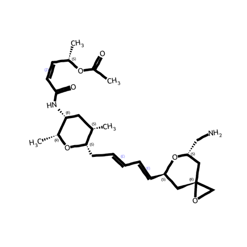 CC(=O)O[C@@H](C)/C=C\C(=O)N[C@@H]1C[C@H](C)[C@H](C/C=C/C=C/[C@@H]2C[C@]3(CO3)C[C@@H](CN)O2)O[C@@H]1C